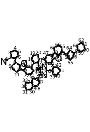 N#Cc1ccccc1-c1cccc2c1oc1c(-c3ccccc3-c3nc(-c4ccc5ccccc5c4)nc(-c4ccccc4-c4cccc5c4oc4c(-c6cccc(-c7ccccc7)c6)cccc45)n3)cccc12